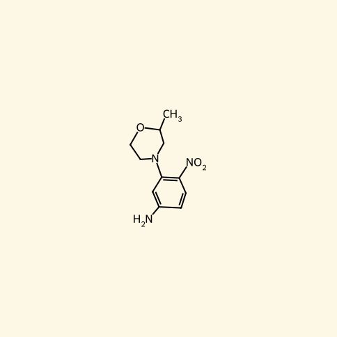 CC1CN(c2cc(N)ccc2[N+](=O)[O-])CCO1